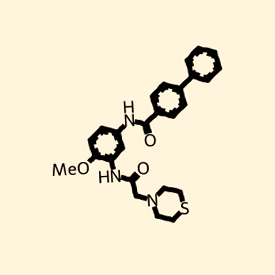 COc1ccc(NC(=O)c2ccc(-c3ccccc3)cc2)cc1NC(=O)CN1CCSCC1